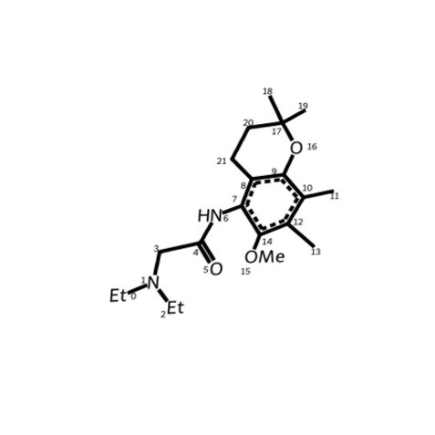 CCN(CC)CC(=O)Nc1c2c(c(C)c(C)c1OC)OC(C)(C)CC2